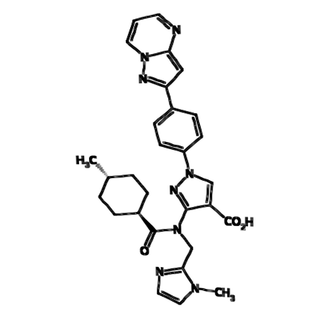 Cn1ccnc1CN(c1nn(-c2ccc(-c3cc4ncccn4n3)cc2)cc1C(=O)O)C(=O)[C@H]1CC[C@H](C)CC1